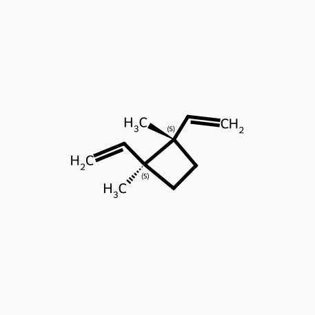 C=C[C@]1(C)CC[C@@]1(C)C=C